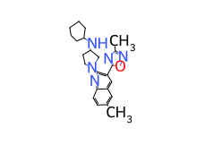 Cc1ccc2nc(N3CCC(NC4CCCCC4)C3)c(-c3nc(C)no3)cc2c1